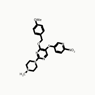 COc1ccc(COc2nc(N3CCN(C)CC3)ncc2Sc2ccc([N+](=O)[O-])nc2)cc1